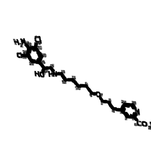 CCOC(=O)c1cc(CCCOCCCCCCNCC(O)c2cc(Cl)c(N)c(Cl)c2)ccn1